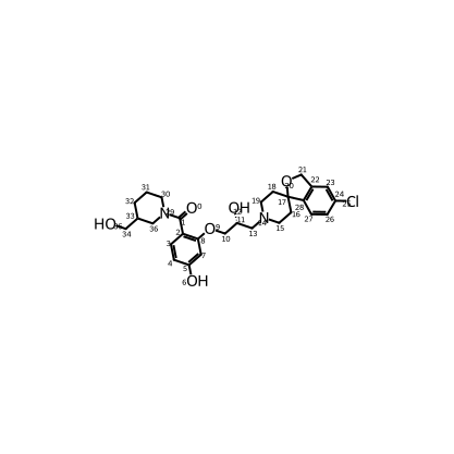 O=C(c1ccc(O)cc1OC[C@H](O)CN1CCC2(CC1)OCc1cc(Cl)ccc12)N1CCCC(CO)C1